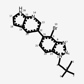 CC(C)(C)Cn1nnc2c(Br)c(-c3cnc4[nH]ccc4c3)ccc21